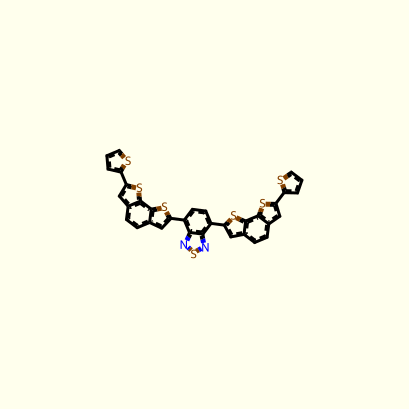 c1csc(-c2cc3ccc4cc(-c5ccc(-c6cc7ccc8cc(-c9cccs9)sc8c7s6)c6nsnc56)sc4c3s2)c1